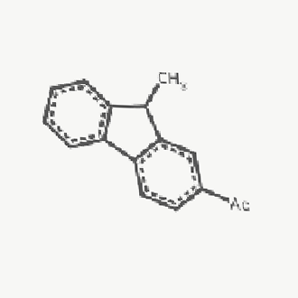 CC(=O)c1ccc2c(c1)C(C)c1ccccc1-2